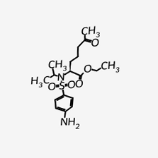 CCOC(=O)[C@H](CCCC(C)=O)N(C(C)C)S(=O)(=O)c1ccc(N)cc1